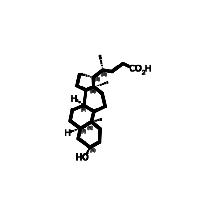 C[C@H](CCC(=O)O)[C@H]1CCC2[C@@H]3CC[C@@H]4C[C@@H](O)CC[C@]4(C)C3CC[C@@]21C